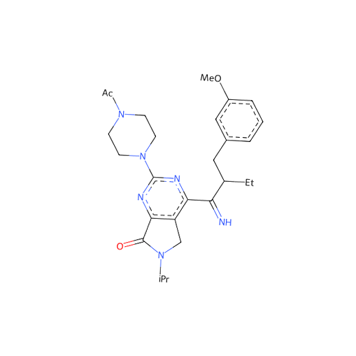 CCC(Cc1cccc(OC)c1)C(=N)c1nc(N2CCN(C(C)=O)CC2)nc2c1CN(C(C)C)C2=O